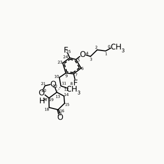 CCCCOc1cc(F)c(CC(C)[C@]23CCC(=O)C[C@H]2OCO3)cc1F